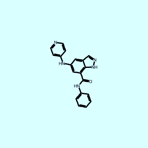 O=C(Nc1ccccc1)c1cc(Nc2ccncc2)cc2cn[nH]c12